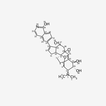 CN(C)[C@H]1C[C@@]23CC[C@]4(O2)C2CC=C(c5ccc6c(O)nccc6c5)[C@@]2(C)CCC4(Cl)C=C3[C@@H](O)[C@@H]1O